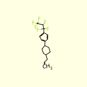 C=CCC1CCC(c2ccc(C(F)(F)C(F)C(F)(F)F)cc2)CC1